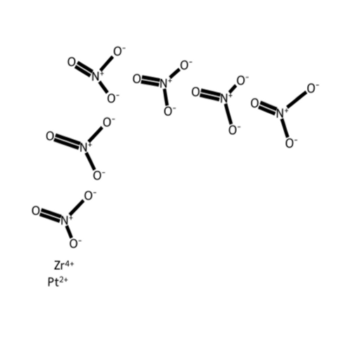 O=[N+]([O-])[O-].O=[N+]([O-])[O-].O=[N+]([O-])[O-].O=[N+]([O-])[O-].O=[N+]([O-])[O-].O=[N+]([O-])[O-].[Pt+2].[Zr+4]